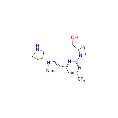 OCC1CCN1c1nc(-c2cnn([C@@H]3CCNC3)c2)cc(C(F)(F)F)n1